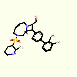 Cc1cccc(-c2ccc(C3C(CO)N4C/C=C\CN(S(=O)(=O)C5CCCNC5C)C[C@@H]34)cc2)c1C